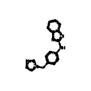 c1ccc2sc(Nc3ccc(Cn4ccnc4)cc3)nc2c1